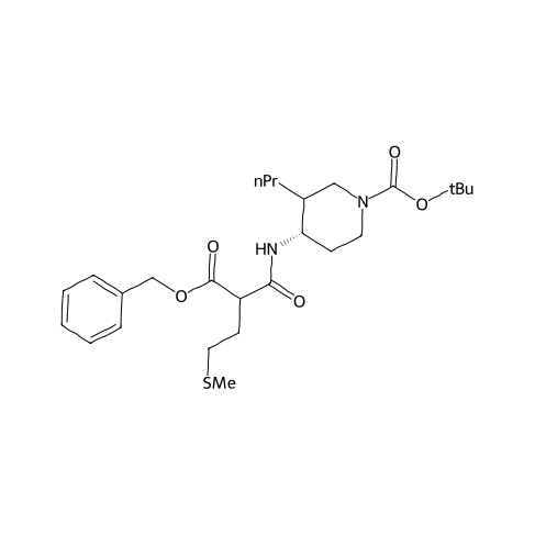 CCCC1CN(C(=O)OC(C)(C)C)CC[C@@H]1NC(=O)C(CCSC)C(=O)OCc1ccccc1